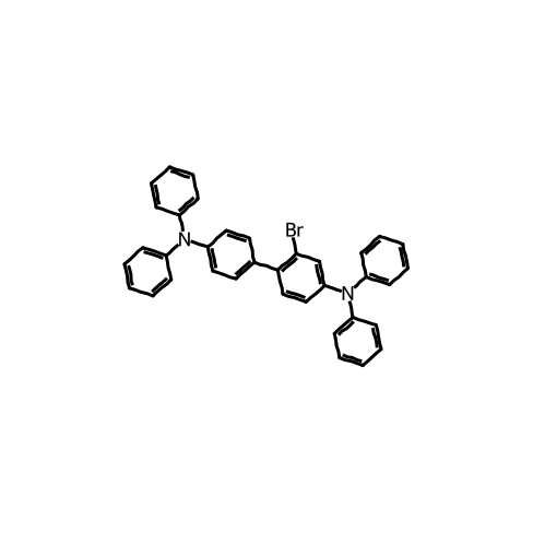 Brc1cc(N(c2ccccc2)c2ccccc2)ccc1-c1ccc(N(c2ccccc2)c2ccccc2)cc1